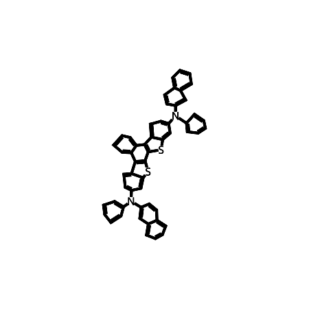 c1ccc(N(c2ccc3ccccc3c2)c2ccc3c(c2)sc2c4sc5cc(N(c6ccccc6)c6ccc7ccccc7c6)ccc5c4c4ccccc4c32)cc1